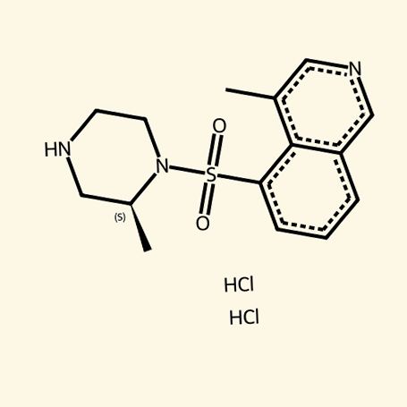 Cc1cncc2cccc(S(=O)(=O)N3CCNC[C@@H]3C)c12.Cl.Cl